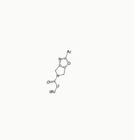 CC(=O)c1nc2c(o1)CN(C(=O)OC(C)(C)C)C2